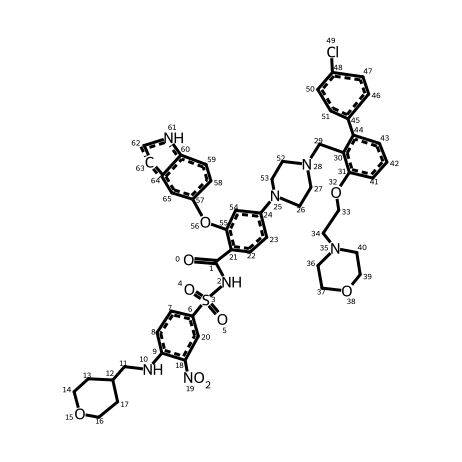 O=C(NS(=O)(=O)c1ccc(NCC2CCOCC2)c([N+](=O)[O-])c1)c1ccc(N2CCN(Cc3c(OCCN4CCOCC4)cccc3-c3ccc(Cl)cc3)CC2)cc1Oc1ccc2[nH]ccc2c1